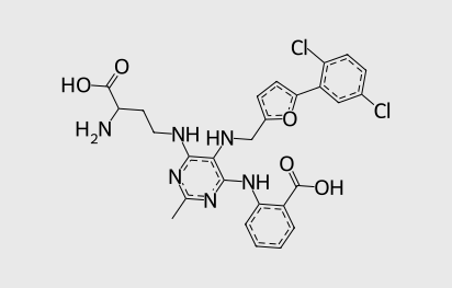 Cc1nc(NCCC(N)C(=O)O)c(NCc2ccc(-c3cc(Cl)ccc3Cl)o2)c(Nc2ccccc2C(=O)O)n1